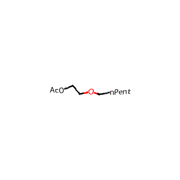 CCCCCCOCCOC(C)=O